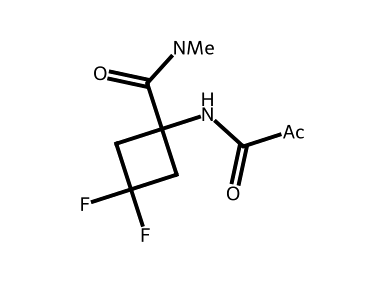 CNC(=O)C1(NC(=O)C(C)=O)CC(F)(F)C1